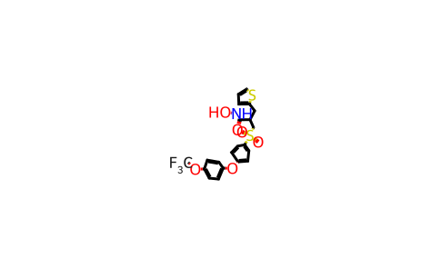 O=C(NO)C(Cc1cccs1)CS(=O)(=O)c1ccc(Oc2ccc(OC(F)(F)F)cc2)cc1